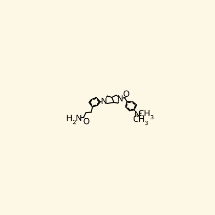 CN(C)c1ccc(C(=O)N2CC3CN(c4cccc(CCC(N)=O)c4)CC3C2)cc1